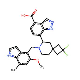 COc1cc(C)c2[nH]ccc2c1CN1CCC2(CC1c1ccc(C(=O)O)c3cn[nH]c13)CC(F)(F)C2